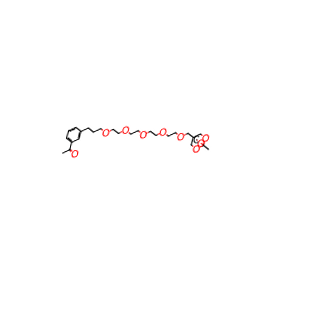 CC(=O)c1cccc(CCCOCCOCCOCCOCCOCC23COC(C)(OC2)OC3)c1